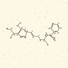 CCc1cc(C=CCCC(C)OC(=O)c2ccccc2)ccc1C(C)CC